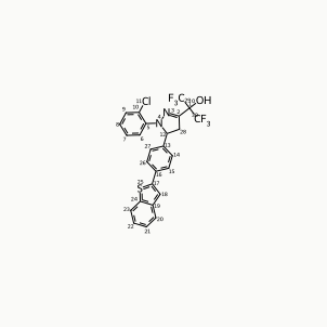 OC(C1=NN(c2ccccc2Cl)C(c2ccc(-c3cc4ccccc4s3)cc2)C1)(C(F)(F)F)C(F)(F)F